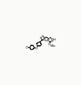 CC(C)(C)OC(=O)N[C@H](CO)Cn1nnc(-c2ccc(Oc3ccc(Cl)cc3)cc2)n1